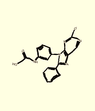 O=C(O)Nc1cccc(-n2c(-c3ccccc3)nc3cnc(Cl)nc32)c1